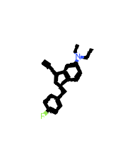 C#CC1=CC(=Cc2ccc(F)cc2)c2ccc(N(CC)CC)cc21